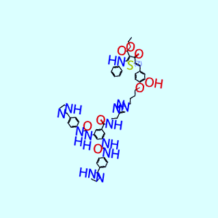 CCOC(=O)C1=C(Nc2ccccc2)S/C(=C\c2ccc(OCCCCn3cc(CCNC(=O)c4cc(NC(=O)Nc5ccc(C6=NCCN6)cc5)cc(NC(=O)Nc5ccc(C6=NCCN6)cc5)c4)nn3)c(O)c2)C1=O